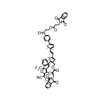 CCN(CCOC(=O)CCN1C(=O)C2C3C=CC(O3)C2C1=O)c1ccc(-c2ccc(/C=C/c3cc(COC(=O)CCN4C(=O)C5C6C=CC(O6)C5C4=O)c(/C=C/C4=C(C#N)C(=C(C#N)C#N)OC4(c4ccccc4)C(F)(F)F)s3)s2)cc1